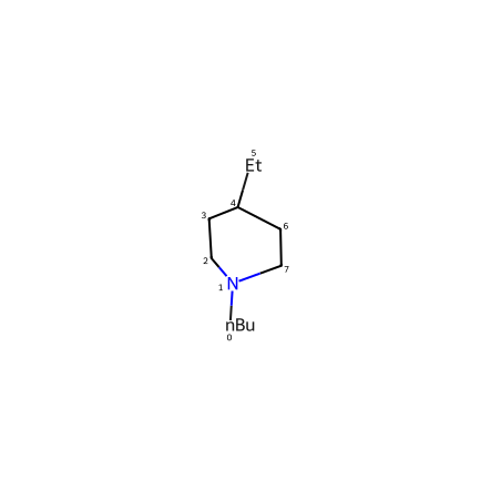 CCCCN1CCC(CC)CC1